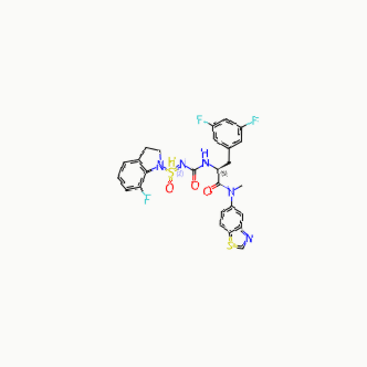 CN(C(=O)[C@H](Cc1cc(F)cc(F)c1)NC(=O)/N=[SH](=O)/N1CCc2cccc(F)c21)c1ccc2scnc2c1